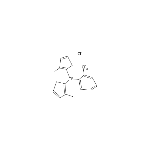 CC1=[C]([Ti+]([C]2=C(C)C=CC2)[c]2ccccc2C(F)(F)F)CC=C1.[Cl-]